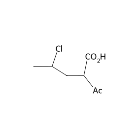 CC(=O)C(CC(C)Cl)C(=O)O